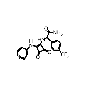 NC(=O)C(Nc1c(Nc2ccncc2)c(=O)c1=O)c1ccc(C(F)(F)F)cc1